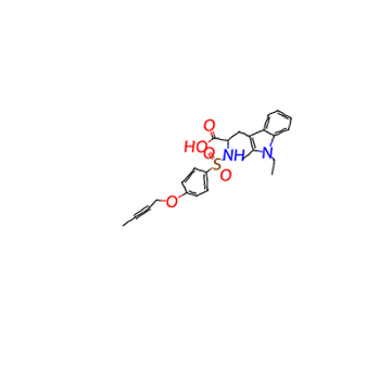 CC#CCOc1ccc(S(=O)(=O)NC(Cc2c(C)n(CC)c3ccccc23)C(=O)O)cc1